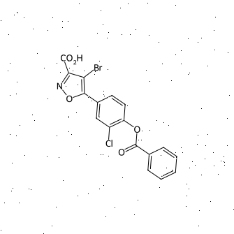 O=C(Oc1ccc(-c2onc(C(=O)O)c2Br)cc1Cl)c1ccccc1